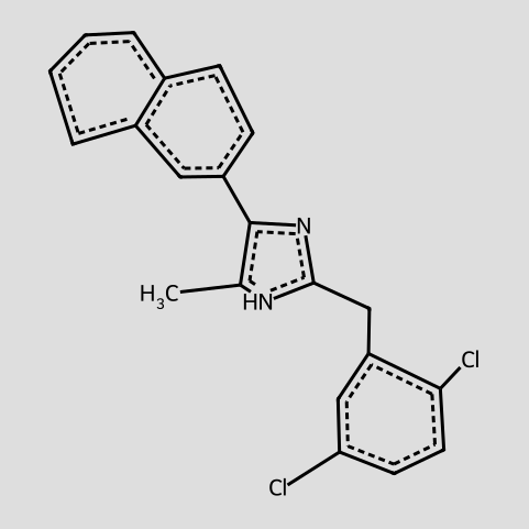 Cc1[nH]c(Cc2cc(Cl)ccc2Cl)nc1-c1ccc2ccccc2c1